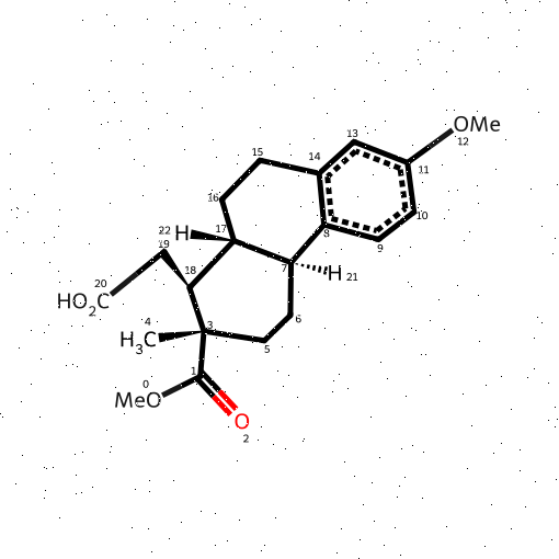 COC(=O)[C@@]1(C)CC[C@@H]2c3ccc(OC)cc3CC[C@H]2[C@@H]1CC(=O)O